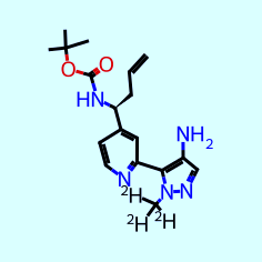 [2H]C([2H])([2H])n1ncc(N)c1-c1cc([C@H](CC=C)NC(=O)OC(C)(C)C)ccn1